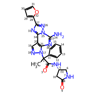 CC(C(=O)N[C@@H]1CNC(=O)C1)(c1ccccc1)n1ncc2c1nc(N)n1nc(-c3ccco3)nc21